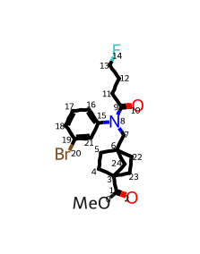 COC(=O)C12CCC(CN(C(=O)CCCF)c3cccc(Br)c3)(CC1)C2